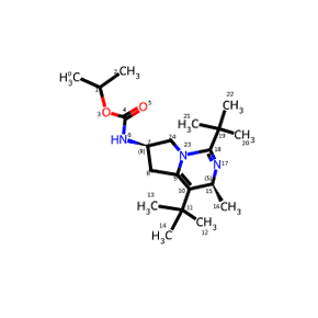 CC(C)OC(=O)N[C@@H]1CC2=C(C(C)(C)C)[C@H](C)N=C(C(C)(C)C)N2C1